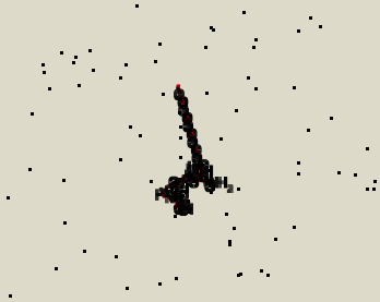 CCCOCCOCCOCCOCCOCCOCCOCCOCCOCCC(=O)N[C@H](C(=O)N[C@@H](CCCNC(N)=O)C(=O)Nc1ccc(COC(=O)N[C@H]2CCc3c(C)c(F)cc4nc5c(c2c34)Cn2c-5cc3c(c2=O)COC(=O)[C@]3(O)CC)cc1)C(C)C